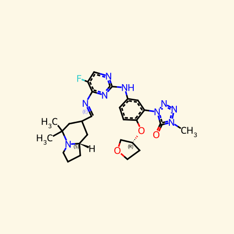 Cn1nnn(-c2cc(Nc3ncc(F)c(/N=C/C4C[C@@H]5CCCN5C(C)(C)C4)n3)ccc2O[C@@H]2CCOC2)c1=O